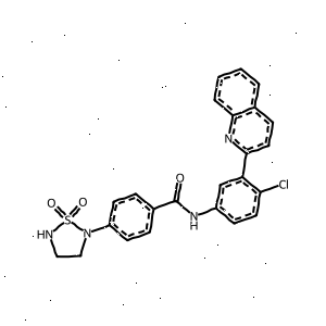 O=C(Nc1ccc(Cl)c(-c2ccc3ccccc3n2)c1)c1ccc(N2CCNS2(=O)=O)cc1